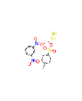 COS(=O)(=O)c1ccc(C)cc1.O=[N+]([O-])c1cccc([N+](=O)[O-])c1.SS